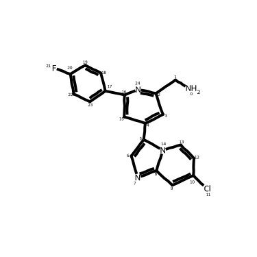 NCc1cc(-c2cnc3cc(Cl)ccn23)cc(-c2ccc(F)cc2)n1